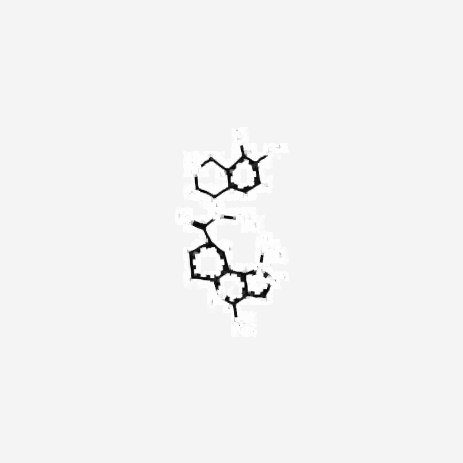 CN(C(=O)c1ccc2nc(N)c3cnn(C)c3c2c1)[C@@H]1COCc2c1ccc(F)c2F